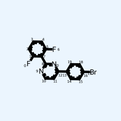 Fc1cccc(F)c1-c1nccc(-c2ccc(Br)cc2)n1